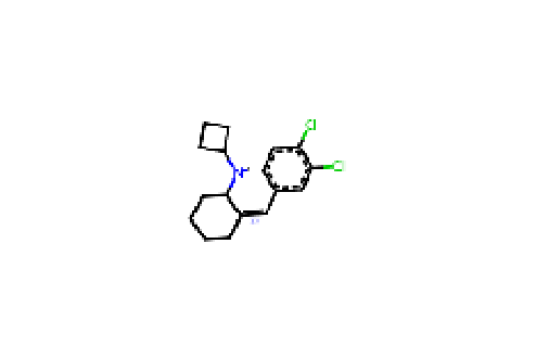 CN(C1CCC1)C1CCCC/C1=C/c1ccc(Cl)c(Cl)c1